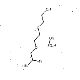 CCCCC(CC)COCCOCCO.O=S(=O)(O)O